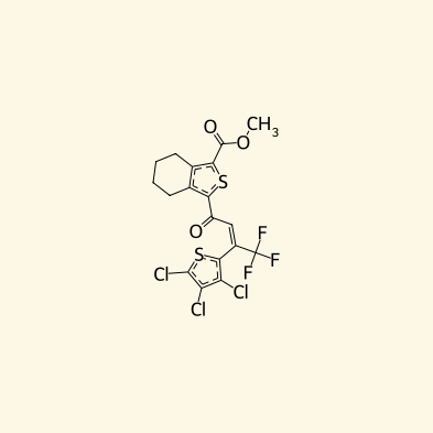 COC(=O)c1sc(C(=O)C=C(c2sc(Cl)c(Cl)c2Cl)C(F)(F)F)c2c1CCCC2